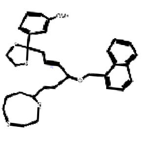 COc1cccc(C2(C/C=C/C(CCC3CCCSCCS3)OCc3cccc4ccccc34)SCCS2)c1